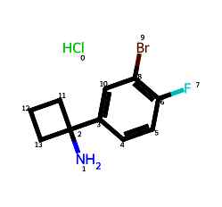 Cl.NC1(c2ccc(F)c(Br)c2)CCC1